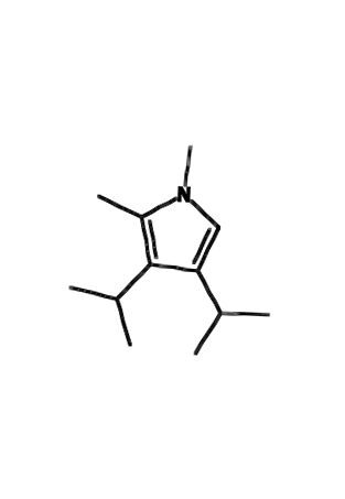 Cc1c(C(C)C)c(C(C)C)cn1C